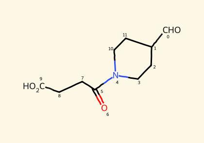 O=CC1CCN(C(=O)CCC(=O)O)CC1